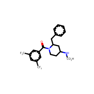 O=C(O)NC1CCN(C(=O)c2cc(C(F)(F)F)cc(C(F)(F)F)c2)C(Cc2ccccc2)C1